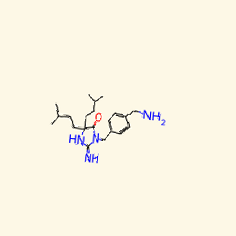 CC(C)CCC1(CCC(C)C)NC(=N)N(Cc2ccc(CN)cc2)C1=O